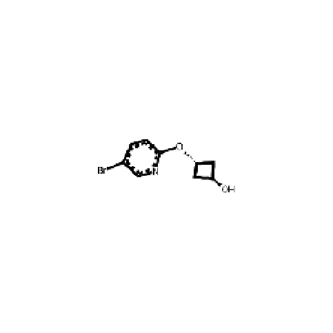 O[C@H]1C[C@H](Oc2ccc(Br)cn2)C1